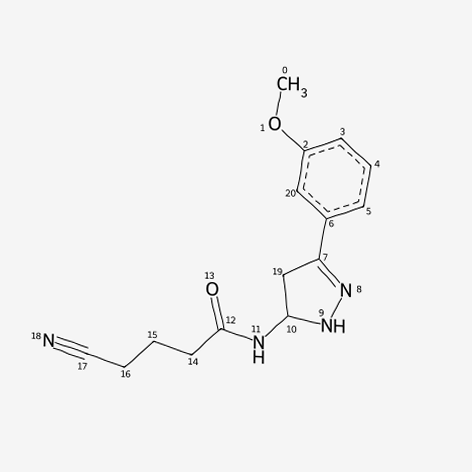 COc1cccc(C2=NNC(NC(=O)CCCC#N)C2)c1